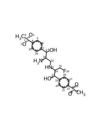 CS(=O)(=O)c1ccc(C(O)C(N)CNC(CF)C(O)c2ccc(S(C)(=O)=O)cc2)cc1